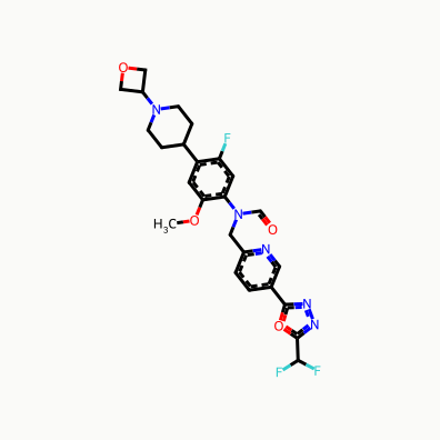 COc1cc(C2CCN(C3COC3)CC2)c(F)cc1N(C=O)Cc1ccc(-c2nnc(C(F)F)o2)cn1